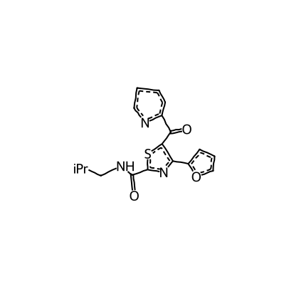 CC(C)CNC(=O)c1nc(-c2ccco2)c(C(=O)c2ccccn2)s1